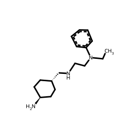 CCN(CCNC[C@H]1CC[C@H](N)CC1)c1ccccc1